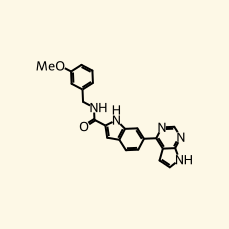 COc1cccc(CNC(=O)c2cc3ccc(-c4ncnc5[nH]ccc45)cc3[nH]2)c1